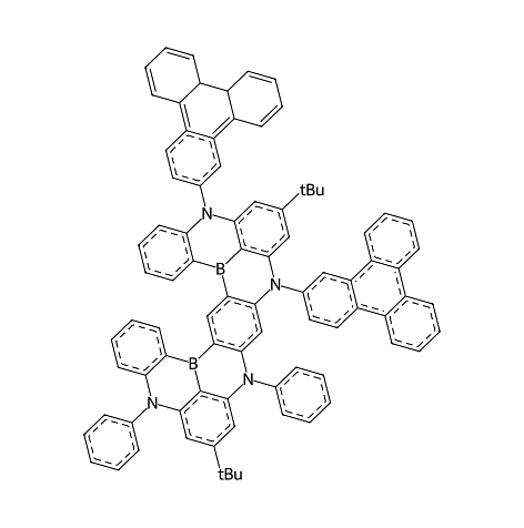 CC(C)(C)c1cc2c3c(c1)N(c1ccccc1)c1cc4c(cc1B3c1ccccc1N2c1ccccc1)B1c2ccccc2N(c2ccc3c(c2)=C2C=CC=CC2C2C=CC=CC=32)c2cc(C(C)(C)C)cc(c21)N4c1ccc2c3ccccc3c3ccccc3c2c1